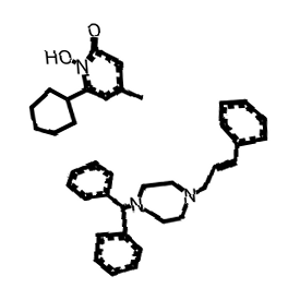 C(=C\c1ccccc1)/CN1CCN(C(c2ccccc2)c2ccccc2)CC1.Cc1cc(C2CCCCC2)n(O)c(=O)c1